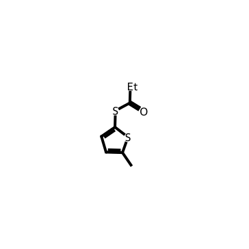 CCC(=O)Sc1ccc(C)s1